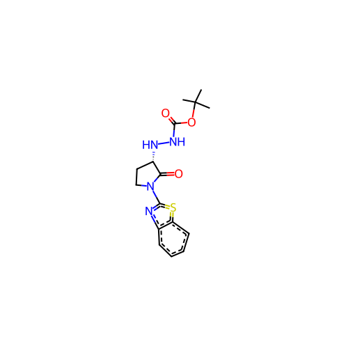 CC(C)(C)OC(=O)NN[C@H]1CCN(c2nc3ccccc3s2)C1=O